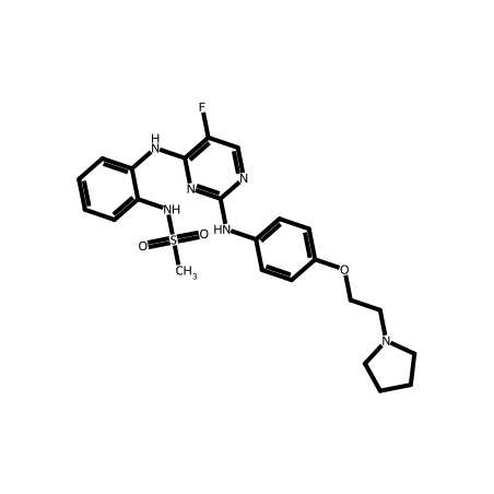 CS(=O)(=O)Nc1ccccc1Nc1nc(Nc2ccc(OCCN3CCCC3)cc2)ncc1F